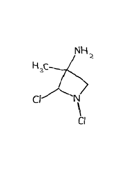 CC1(N)CN(Cl)C1Cl